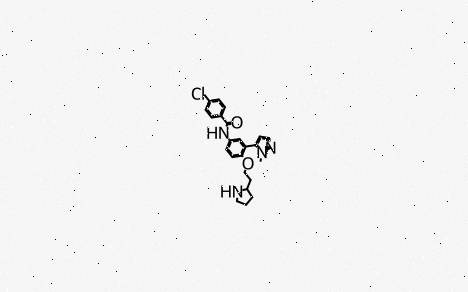 Cn1nccc1-c1cc(NC(=O)c2ccc(Cl)cc2)ccc1OCCC1CCCN1